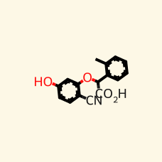 Cc1ccccc1C(Oc1cc(O)ccc1C#N)C(=O)O